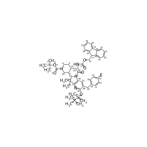 CC(C)(C)OC(=O)N1CCC([C@H](NC(=O)OCC2c3ccccc3-c3ccccc32)C(=O)N2CC(C)(C)c3nc(O[Si](C)(C)C(C)(C)C)c(Cc4ccc(F)cc4)cc32)CC1